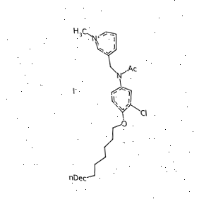 CCCCCCCCCCCCCCCCOc1ccc(N(Cc2ccc[n+](C)c2)C(C)=O)cc1Cl.[I-]